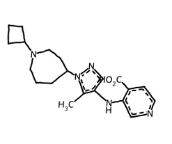 Cc1c(Nc2cnccc2C(=O)O)cnn1C1CCCN(C2CCC2)CC1